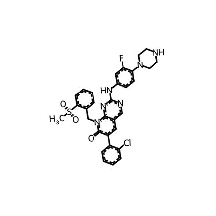 CS(=O)(=O)c1ccccc1Cn1c(=O)c(-c2ccccc2Cl)cc2cnc(Nc3ccc(N4CCNCC4)c(F)c3)nc21